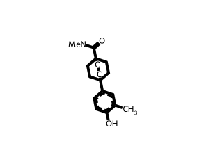 CNC(=O)C12CCC(c3ccc(O)c(C)c3)(CC1)CC2